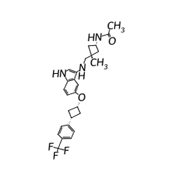 CC(=O)N[C@H]1C[C@@](C)(CNc2c[nH]c3ccc(O[C@H]4C[C@@H](c5ccc(C(F)(F)F)cc5)C4)cc23)C1